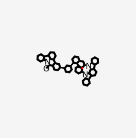 O=c1c2ccc(-c3cccc(-c4cccc5cc(-n6c7ccccc7c7ccc8c9ccccc9n(-c9ccccc9)c8c76)ccc45)c3)cc2c2cccc3c4ccccc4n1c23